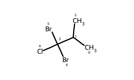 CC(C)C(Cl)(Br)Br